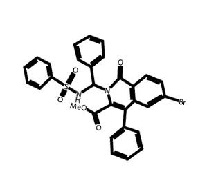 COC(=O)c1c(-c2ccccc2)c2cc(Br)ccc2c(=O)n1C(NS(=O)(=O)c1ccccc1)c1ccccc1